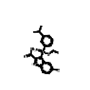 CCOP(=O)(c1cccc(C(C)C)c1)c1c(C(N)=O)[nH]c2ccc(Cl)cc12